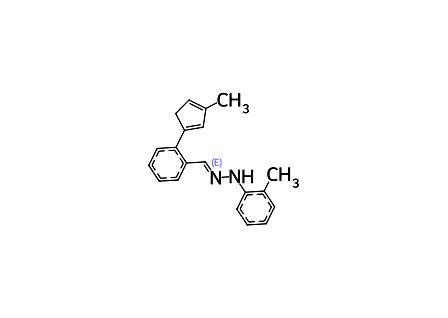 CC1=CCC(c2ccccc2/C=N/Nc2ccccc2C)=C1